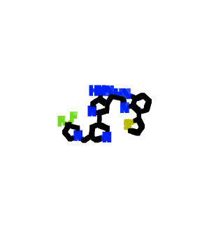 FC1(F)CCN(Cc2cncc(-c3cc4c(-c5nc6c(-c7cccs7)cccc6[nH]5)n[nH]c4cn3)c2)C1